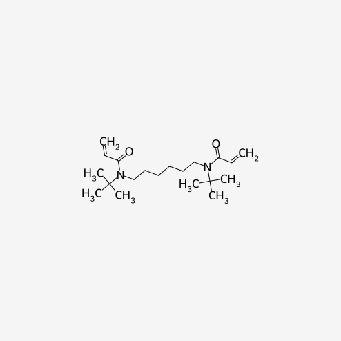 C=CC(=O)N(CCCCCCN(C(=O)C=C)C(C)(C)C)C(C)(C)C